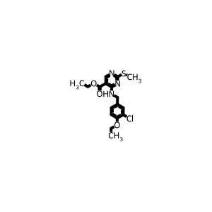 CCOC(=O)c1cnc(SC)nc1NCc1ccc(OCC)c(Cl)c1